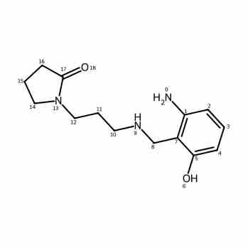 Nc1cccc(O)c1CNCCCN1CCCC1=O